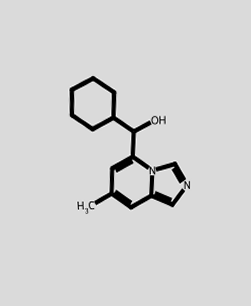 Cc1cc(C(O)C2CCCCC2)n2cncc2c1